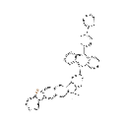 CC1(C)c2ccc(-c3c4ccccc4c(-c4ccc(-c5ccccc5)cc4)c4ccccc34)cc2-c2cc3cc4sc5ccccc5c4cc3cc21